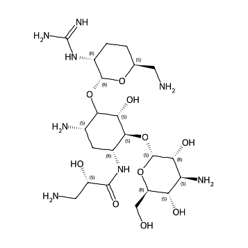 N=C(N)N[C@@H]1CC[C@@H](CN)O[C@@H]1OC1[C@@H](N)C[C@@H](NC(=O)[C@@H](O)CN)[C@H](O[C@H]2O[C@H](CO)[C@@H](O)[C@H](N)[C@H]2O)[C@H]1O